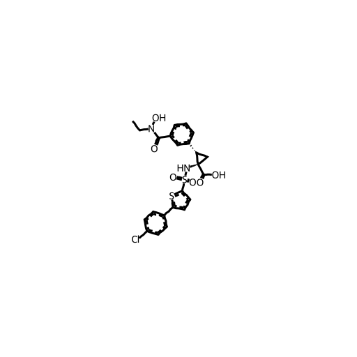 CCN(O)C(=O)c1cccc([C@@H]2C[C@]2(NS(=O)(=O)c2ccc(-c3ccc(Cl)cc3)s2)C(=O)O)c1